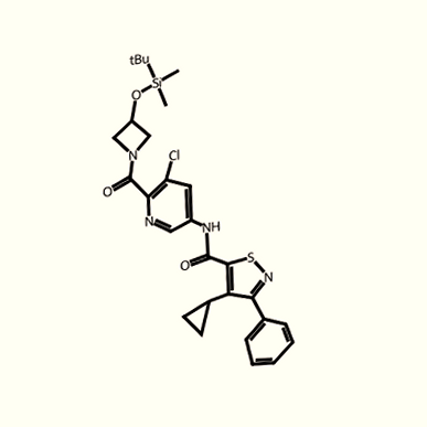 CC(C)(C)[Si](C)(C)OC1CN(C(=O)c2ncc(NC(=O)c3snc(-c4ccccc4)c3C3CC3)cc2Cl)C1